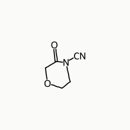 N#CN1CCOCC1=O